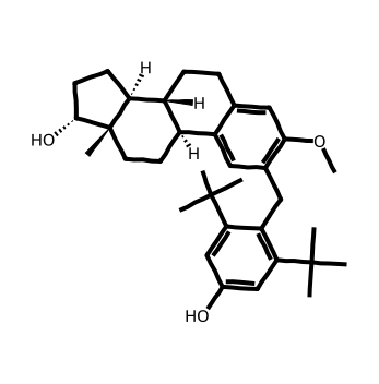 COc1cc2c(cc1Cc1c(C(C)(C)C)cc(O)cc1C(C)(C)C)[C@H]1CC[C@]3(C)[C@H](O)CC[C@H]3[C@@H]1CC2